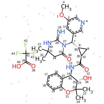 COc1cncc(C([C@@H]2C[C@H]2C(=O)N[C@@H]2c3ccccc3OC(C)(C)[C@H]2O)N2C(=N)NC(C)(C)CC2=O)c1.O=C(O)C(F)(F)F